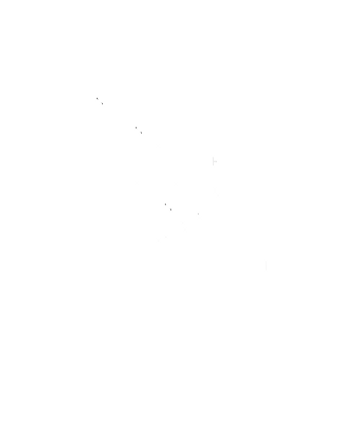 Cl.O=S(=O)(c1cccc(Cl)c1)n1ccc2c(N3CCNCC3)ccc(Cl)c21